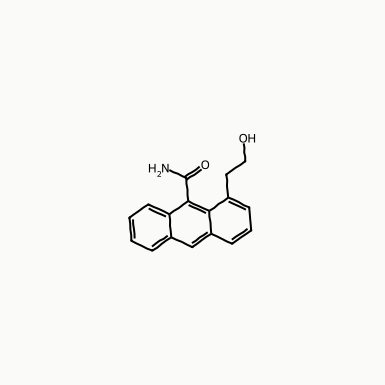 NC(=O)c1c2ccccc2cc2cccc(CCO)c12